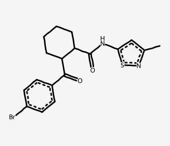 Cc1cc(NC(=O)C2CCCCC2C(=O)c2ccc(Br)cc2)sn1